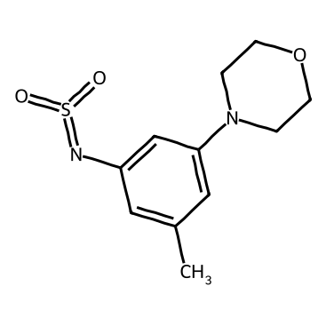 Cc1cc(N=S(=O)=O)cc(N2CCOCC2)c1